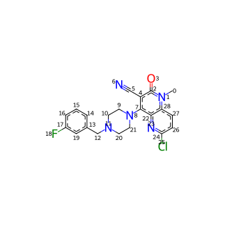 Cn1c(=O)c(C#N)c(N2CCN(Cc3cccc(F)c3)CC2)c2nc(Cl)ccc21